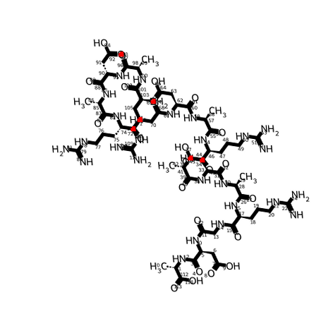 C[C@H](NC(=O)[C@H](CC(=O)O)NC(=O)CNC(=O)[C@H](CCCNC(=N)N)NC(=O)[C@H](C)NC(=O)[C@H](CC(=O)O)NC(=O)[C@H](C)NC(=O)[C@H](CCCNC(=N)N)NC(=O)[C@H](C)NC(=O)[C@H](CC(=O)O)NC(=O)CNC(=O)[C@H](CCCNC(=N)N)NC(=O)[C@H](C)NC(=O)[C@H](CC(=O)O)NC(=O)[C@H](C)NC(=O)[C@@H](N)CCCNC(=N)N)C(=O)O